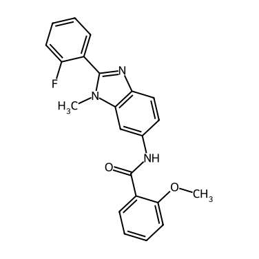 COc1ccccc1C(=O)Nc1ccc2nc(-c3ccccc3F)n(C)c2c1